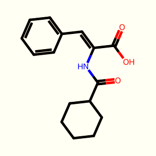 O=C(O)C(=Cc1ccccc1)NC(=O)C1CCCCC1